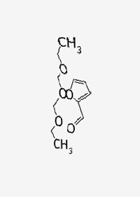 CCOCOCOCC.O=Cc1ccco1